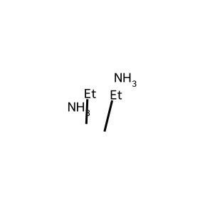 CCC.CCC.N.N